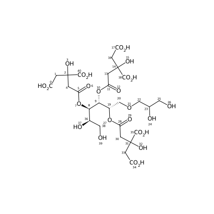 O=C(O)CC(O)(CC(=O)O[C@@H]([C@H](OC(=O)CC(O)(CC(=O)O)C(=O)O)[C@H](COCC(O)CO)OC(=O)CC(O)(CC(=O)O)C(=O)O)[C@H](O)CO)C(=O)O